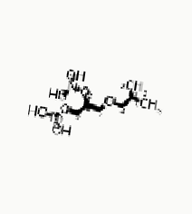 CC(C)COCC(CON(O)O)ON(O)O